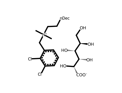 CCCCCCCCCCCC[N+](C)(C)Cc1cccc(Cl)c1Cl.O=C([O-])[C@H](O)[C@@H](O)[C@H](O)[C@H](O)CO